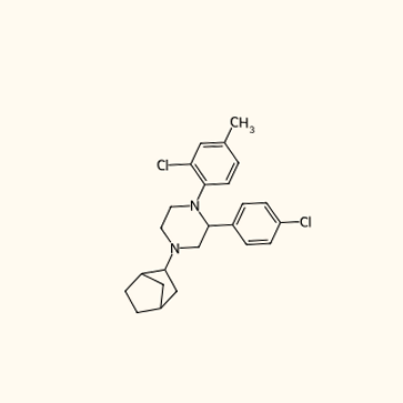 Cc1ccc(N2CCN(C3CC4CCC3C4)CC2c2ccc(Cl)cc2)c(Cl)c1